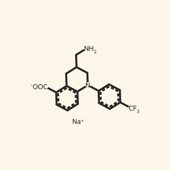 NCC1Cc2c(C(=O)[O-])cccc2N(c2ccc(C(F)(F)F)cc2)C1.[Na+]